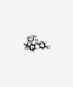 CC(C)CN(CC(C)C)c1c(Nc2ccc(Cl)cn2)cccc1C(C)(C)C(=O)O